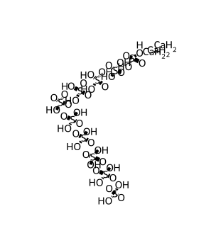 O=S(=O)(O)O.O=S(=O)(O)O.O=S(=O)(O)O.O=S(=O)(O)O.O=S(=O)(O)O.O=S(=O)(O)O.O=S(=O)(O)O.O=S(=O)(O)O.O=S(=O)(O)O.O=S(=O)(O)O.[CaH2].[CaH2].[CaH2]